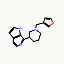 c1cc2cc[nH]c2c(C2CCCN(Cc3ccoc3)C2)n1